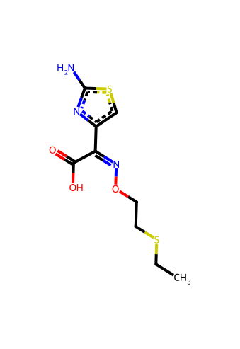 CCSCCON=C(C(=O)O)c1csc(N)n1